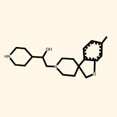 Cc1ccc2c(c1)OCC21CCN(CC(O)C2CCNCC2)CC1